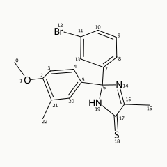 COc1ccc(C2(c3cccc(Br)c3)N=C(C)C(=S)N2)cc1C